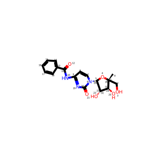 C[C@]1(CO)O[C@@H](n2ccc(NC(=O)c3ccccc3)nc2=O)[C@@H](O)[C@@H]1O